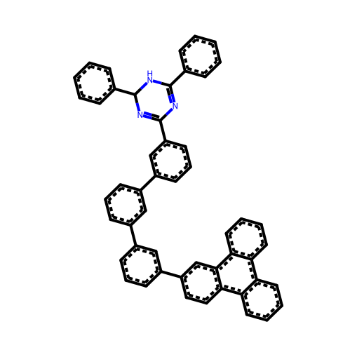 c1ccc(C2=NC(c3cccc(-c4cccc(-c5cccc(-c6ccc7c8ccccc8c8ccccc8c7c6)c5)c4)c3)=NC(c3ccccc3)N2)cc1